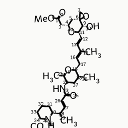 COC(=O)C[C@@H]1C[C@@]2(CO2)[C@H](O)[C@@H](/C=C/C(C)=C/C[C@@H]2O[C@H](C)[C@H](NC(=O)/C=C/C(C)[C@@H]3CCCCN3C(=O)O)C[C@@H]2C)O1